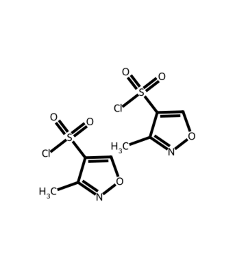 Cc1nocc1S(=O)(=O)Cl.Cc1nocc1S(=O)(=O)Cl